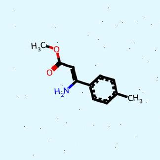 COC(=O)C=C(N)c1ccc(C)cc1